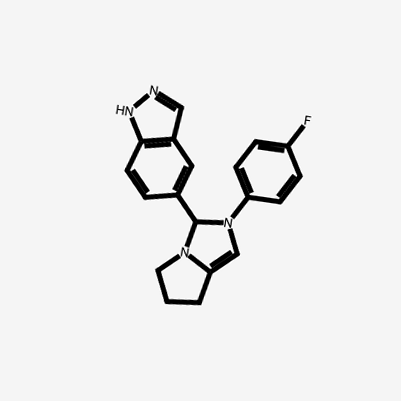 Fc1ccc(N2C=C3CCCN3C2c2ccc3[nH]ncc3c2)cc1